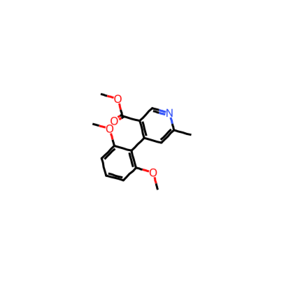 COC(=O)c1cnc(C)cc1-c1c(OC)cccc1OC